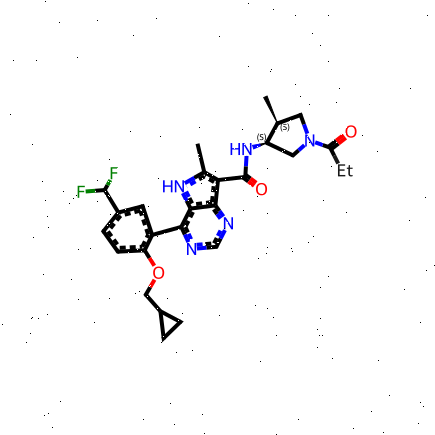 CCC(=O)N1C[C@H](C)[C@H](NC(=O)c2c(C)[nH]c3c(-c4cc(C(F)F)ccc4OCC4CC4)ncnc23)C1